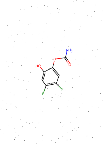 NC(=O)Oc1cc(F)c(F)cc1O